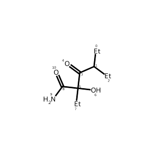 CCC(CC)C(=O)C(O)(CC)C(N)=O